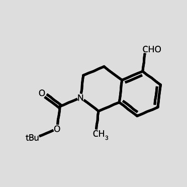 CC1c2cccc(C=O)c2CCN1C(=O)OC(C)(C)C